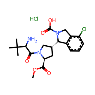 COC(=O)[C@@H]1C[C@@H](C2c3cccc(Cl)c3CN2C(=O)O)CN1C(=O)C(N)C(C)(C)C.Cl